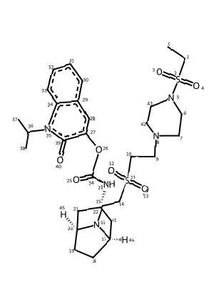 CCS(=O)(=O)N1CCN(CCS(=O)(=O)CCN2[C@@H]3CC[C@H]2C[C@H](NC(=O)Oc2cc4ccccc4n(C(C)C)c2=O)C3)CC1